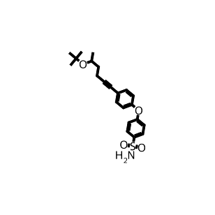 CC(CCC#Cc1ccc(Oc2ccc(S(N)(=O)=O)cc2)cc1)OC(C)(C)C